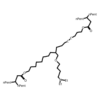 CCCCCC(CCCCC)CC(=O)OCCCCCCCCC(CCCCCCCCOC(=O)CC(CCCCC)CCCCC)COCCCCN(CC)CC